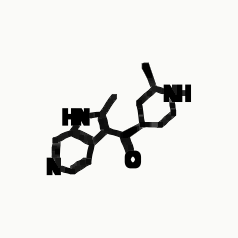 Cc1[nH]c2cnccc2c1C(=O)[C@@H]1CCN[C@H](C)C1